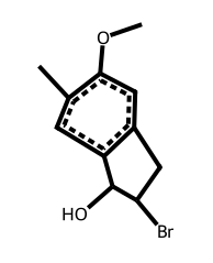 COc1cc2c(cc1C)C(O)C(Br)C2